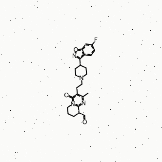 Cc1nc2n(c(=O)c1CCN1CCC(c3noc4cc(F)ccc34)CC1)CCCC2C=O